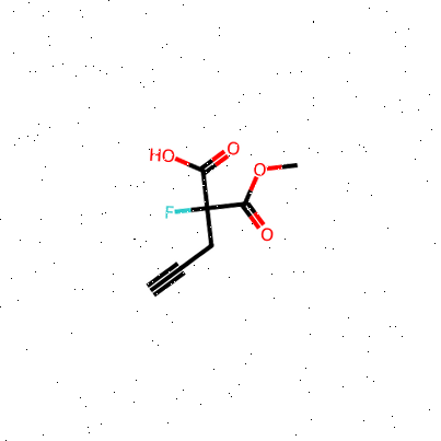 C#CCC(F)(C(=O)O)C(=O)OC